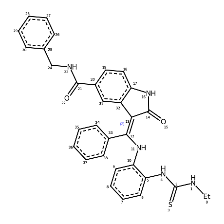 CCNC(=S)Nc1ccccc1N/C(=C1\C(=O)Nc2ccc(C(=O)NCc3ccccc3)cc21)c1ccccc1